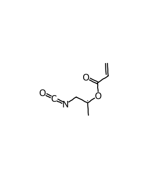 C=CC(=O)O[C](C)CN=C=O